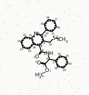 COC(=O)C(NC(=O)c1c(CSC)c(-c2ccccc2)nc2ccccc12)c1ccccc1